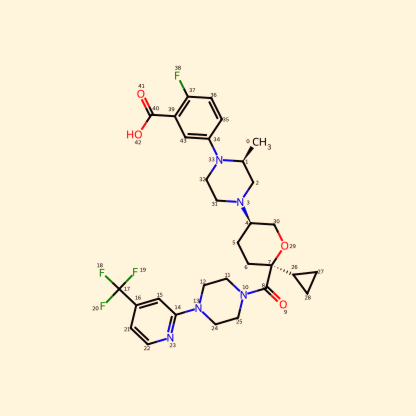 C[C@H]1CN([C@@H]2CC[C@@](C(=O)N3CCN(c4cc(C(F)(F)F)ccn4)CC3)(C3CC3)OC2)CCN1c1ccc(F)c(C(=O)O)c1